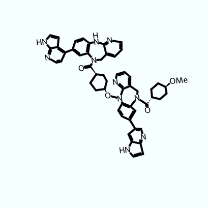 CO[C@H]1CC[C@H](C(=O)N2Cc3cccnc3N(O[C@H]3CC[C@H](C(=O)N4Cc5cccnc5Nc5ccc(-c6ccnc7[nH]ccc67)cc54)CC3)c3ccc(-c4cnc5cc[nH]c5c4)cc32)CC1